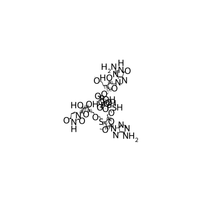 COCC[C@@H]1[C@@H](COP(=O)(O)OP(=O)(O)OP(=O)(S)OC[C@H]2O[C@@H](n3cnc4c(N)ncnc43)[C@H](OC)[C@@H]2SCOC[C@H]2O[C@@H](n3ccc(=O)[nH]c3=O)[C@H](O)[C@@H]2O)OC(n2cnc3c(=O)[nH]c(N)nc32)[C@@H]1O